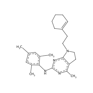 Cc1cc(C)c(Nc2nc(C)c3c(n2)N(CCC2=CCCCC2)CC3)c(C)c1